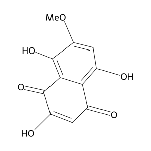 COc1cc(O)c2c(c1O)C(=O)C(O)=CC2=O